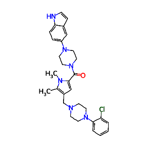 Cc1c(CN2CCN(c3ccccc3Cl)CC2)cc(C(=O)N2CCN(c3ccc4[nH]ccc4c3)CC2)n1C